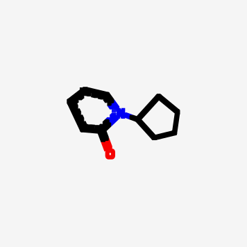 O=c1cc[c]cn1C1CCCC1